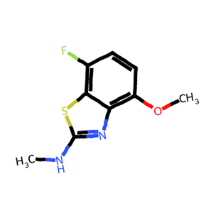 CNc1nc2c(OC)ccc(F)c2s1